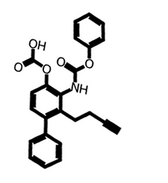 C#CCCc1c(-c2ccccc2)ccc(OC(=O)O)c1NC(=O)Oc1ccccc1